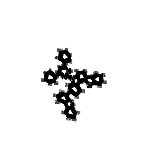 c1ccc(-c2cc(-c3ccccc3)nc(-n3c4cc(-c5cccc6c5sc5ccccc56)ccc4c4c5sc6ccccc6c5ccc43)n2)cc1